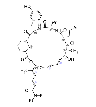 CCN(CC)C(=O)/C=C/C=C(\C)[C@@H]1C/C=C/C=C/[C@H](O)[C@H](C)[C@@H](O)[C@@H](CCC(C)=O)C(=O)N[C@@H](C(C)C)C(=O)N[C@@H](Cc2cccc(O)c2)C(=O)N2CCCC(N2)C(=O)O1